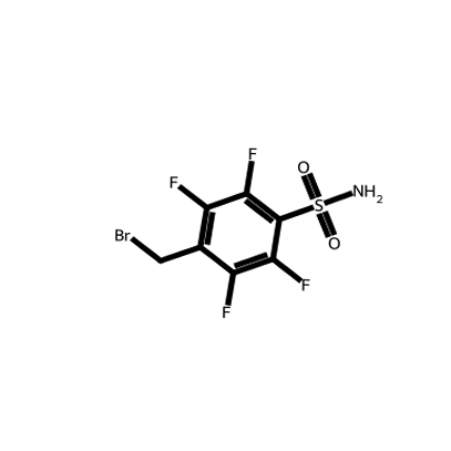 NS(=O)(=O)c1c(F)c(F)c(CBr)c(F)c1F